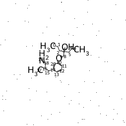 CCCC(O)(CCC)COc1cccc(C[C@@H](C)CN)c1